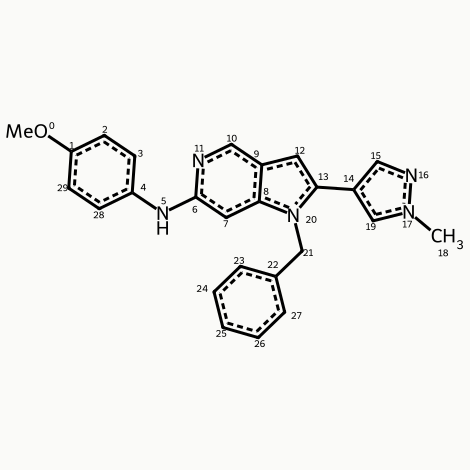 COc1ccc(Nc2cc3c(cn2)cc(-c2cnn(C)c2)n3Cc2ccccc2)cc1